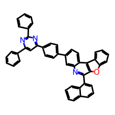 c1ccc(-c2cc(-c3ccc(-c4ccc5c(c4)nc(-c4cccc6ccccc46)c4oc6ccccc6c45)cc3)nc(-c3ccccc3)n2)cc1